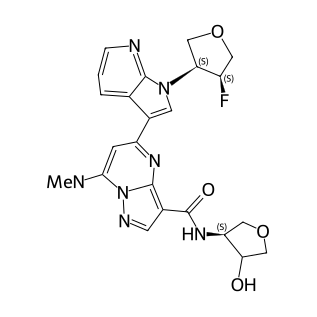 CNc1cc(-c2cn([C@H]3COC[C@H]3F)c3ncccc23)nc2c(C(=O)N[C@H]3COCC3O)cnn12